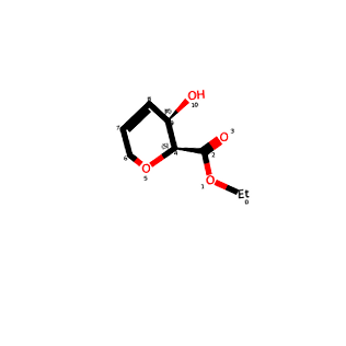 CCOC(=O)[C@H]1OCC=C[C@H]1O